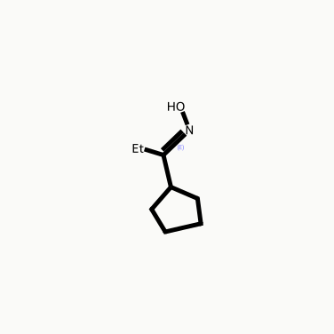 CC/C(=N\O)C1CCCC1